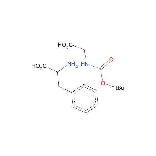 CC(C)(C)OC(=O)NCC(=O)O.NC(Cc1ccccc1)C(=O)O